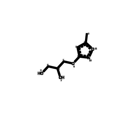 Cc1cc(OCC(O)CO)no1